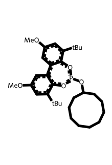 COc1cc(C(C)(C)C)c2op(OC3CCCCCCCCC3)oc3c(C(C)(C)C)cc(OC)cc3c2c1